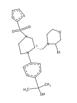 CCC1COCCN1C[C@H]1CN(S(=O)(=O)c2cccs2)CCN1c1ccc(C(C)(C)O)cc1